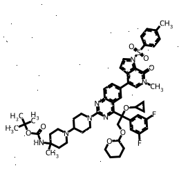 Cc1ccc(S(=O)(=O)n2ccc3c(-c4ccc5nc(N6CCC(N7CCC(C)(NC(=O)OC(C)(C)C)CC7)CC6)nc(C(COC6CCCCO6)(OC6CC6)c6cc(F)cc(F)c6)c5c4)cn(C)c(=O)c32)cc1